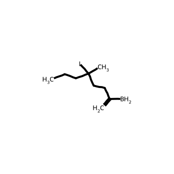 BC(=C)CCC(C)(I)CCC